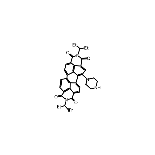 CCC(CC)N1C(=O)c2ccc3c4ccc5c6c(ccc(c7c(N8CCNCC8)cc(c2c37)C1=O)c64)C(=O)N(C(CC)C(C)C)C5=O